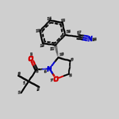 CC(C)(C)C(=O)N1OCC[C@H]1c1ccccc1C#N